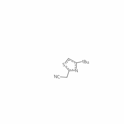 CC(C)(C)c1csc(CC#N)n1